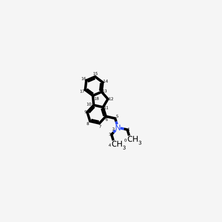 CCN(CC)Cc1cccc2c1Cc1ccccc1-2